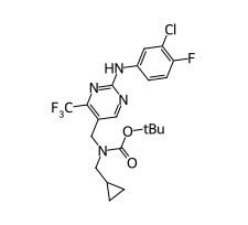 CC(C)(C)OC(=O)N(Cc1cnc(Nc2ccc(F)c(Cl)c2)nc1C(F)(F)F)CC1CC1